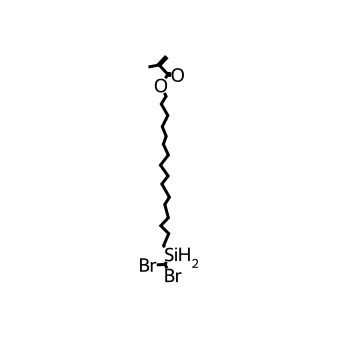 C=C(C)C(=O)OCCCCCCCCCCCCCCCC[SiH2]C(Br)Br